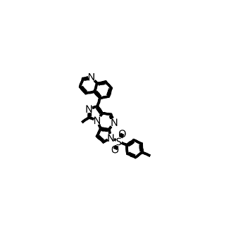 Cc1ccc(S(=O)(=O)n2ccc3c2ncc2c(-c4cccc5ncccc45)nc(C)n23)cc1